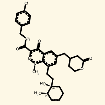 C[C@@H]1CCCC[C@@]1(O)CCc1cc(CC2CCOC(=O)C2)cc2c(=O)c(C(=O)NCc3ccc(Cl)cc3)nn(C)c12